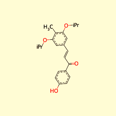 Cc1c(OC(C)C)cc(C=CC(=O)c2ccc(O)cc2)cc1OC(C)C